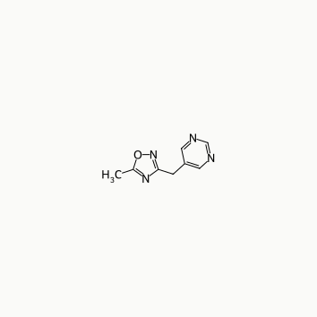 Cc1nc(Cc2cncnc2)no1